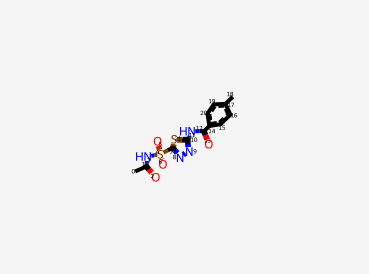 CC(=O)NS(=O)(=O)c1nnc(NC(=O)c2ccc(C)cc2)s1